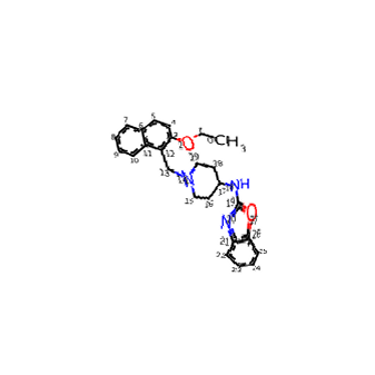 CCOc1ccc2ccccc2c1CN1CCC(Nc2nc3ccccc3o2)CC1